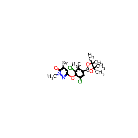 Cc1c(B2OC(C)(C)C(C)(C)O2)cc(Cl)c(Oc2cc(C(C)C)c(=O)n(C)n2)c1Cl